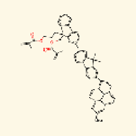 C=C(C)C(=O)OCCCC1(COC(=O)C(=C)C)c2ccccc2-c2ccc(-c3ccc4c(c3)C(C)(C)c3cc(C5=C6C=CC7=CC(C(C)(C)C)=CC8=CC=C(C=C5)C6C87)ccc3-4)cc21